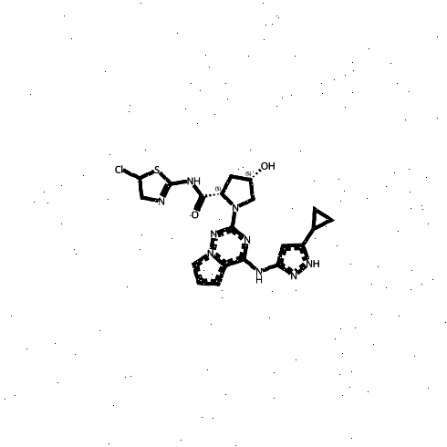 O=C(NC1=NCC(Cl)S1)[C@@H]1C[C@H](O)CN1c1nc(Nc2cc(C3CC3)[nH]n2)c2cccn2n1